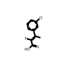 C/C(=C(/F)C(=O)O)c1cccc(Cl)c1